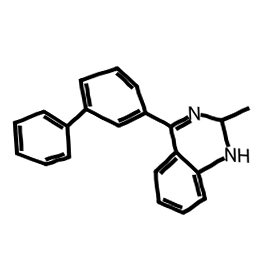 CC1N=C(c2cccc(-c3ccccc3)c2)c2ccccc2N1